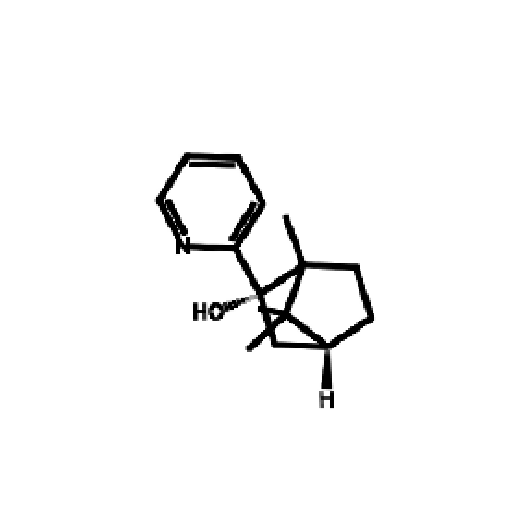 CC1(C)[C@@H]2CCC1(C)[C@](O)(c1ccccn1)C2